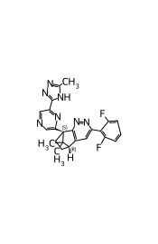 Cc1nnc(-c2cncc([C@@]34CC[C@@H](c5cc(-c6c(F)cccc6F)nnc53)C4(C)C)n2)[nH]1